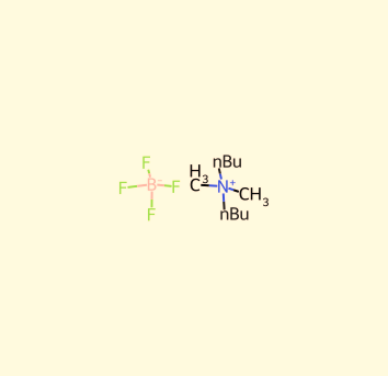 CCCC[N+](C)(C)CCCC.F[B-](F)(F)F